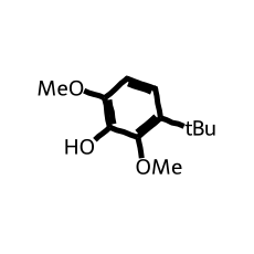 COc1ccc(C(C)(C)C)c(OC)c1O